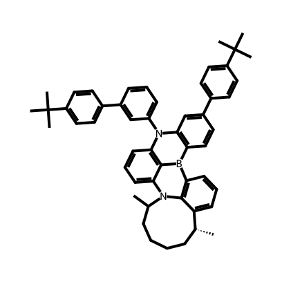 CC1CCCC[C@@H](C)c2cccc3c2N1c1cccc2c1B3c1ccc(-c3ccc(C(C)(C)C)cc3)cc1N2c1cccc(-c2ccc(C(C)(C)C)cc2)c1